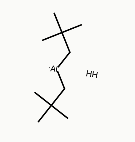 CC(C)(C)[CH2][Al][CH2]C(C)(C)C.[HH]